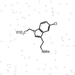 CCOC(=O)Cn1cc(CCNC)c2cc(Cl)ccc21